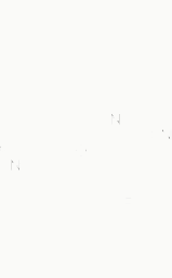 N#Cc1cc(F)c2c(oc3c(-c4ccccn4)cccc32)c1-n1c2ccccc2c2ccccc21